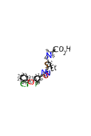 CCc1cc(CN2CC(C(=O)O)C2)sc1-c1noc(-c2ccc(Oc3ccccc3Cl)c(F)c2)n1